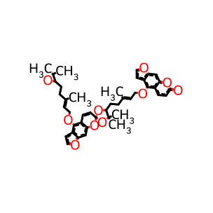 C/C(=C\COc1c2c(cc3occc13)OC1(C=C2)OC(CC/C(C)=C/COc2c3ccoc3cc3oc(=O)ccc23)C(C)(C)O1)CCC1OC1(C)C